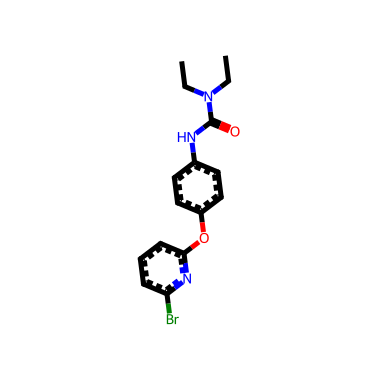 CCN(CC)C(=O)Nc1ccc(Oc2cccc(Br)n2)cc1